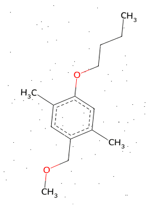 CCCCOc1cc(C)c(COC)cc1C